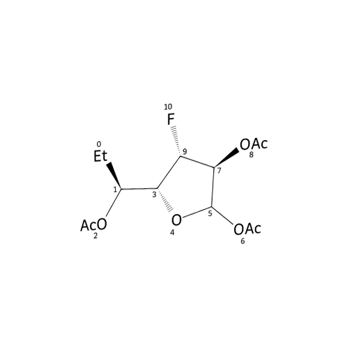 CC[C@H](OC(C)=O)[C@H]1OC(OC(C)=O)[C@H](OC(C)=O)[C@H]1F